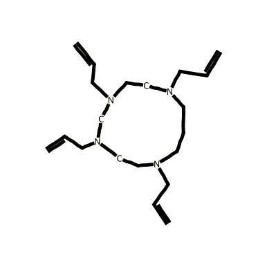 C=CCN1CCCN(CC=C)CCN(CC=C)CN(CC=C)CC1